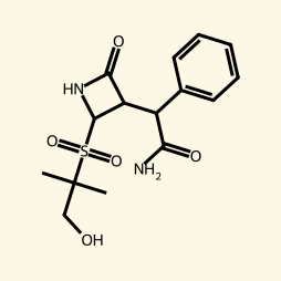 CC(C)(CO)S(=O)(=O)C1NC(=O)C1C(C(N)=O)c1ccccc1